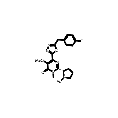 COc1c(-c2nnc(Cc3ccc(F)cc3)o2)nc([C@@H]2CCCN2C(C)=O)n(C)c1=O